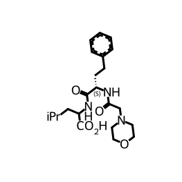 CC(C)CC(NC(=O)[C@H](CCc1ccccc1)NC(=O)CN1CCOCC1)C(=O)O